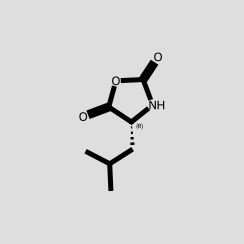 CC(C)C[C@H]1NC(=O)OC1=O